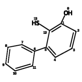 Oc1cccc(-c2ccccc2)c1S